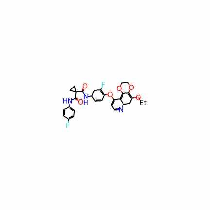 CCOC1=C2OCCOC2=C2C(OC3=C(F)CC(NC(=O)C4(C(=O)Nc5ccc(F)cc5)CC4)C=C3)=CC=NC2C1